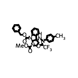 COC(=O)N1CC[C@]2(NN(C(=O)C(F)(F)F)c3ccc(C)cc3)c3ccccc3N(C(=O)OCc3ccccc3)C12